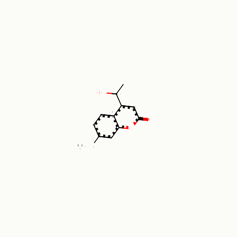 COc1ccc2c(C(C)O)cc(=O)oc2c1